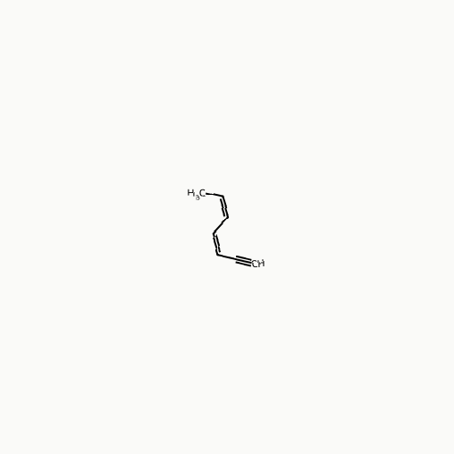 C#C/C=C\C=C/C